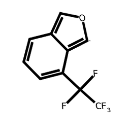 FC(F)(F)C(F)(F)c1cccc2co[c]c12